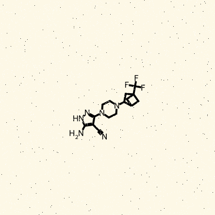 N#Cc1c(N2CCN(C3CC4(C(F)(F)F)CC3C4)CC2)n[nH]c1N